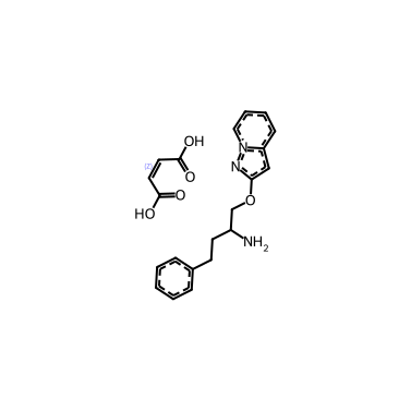 NC(CCc1ccccc1)COc1cc2ccccn2n1.O=C(O)/C=C\C(=O)O